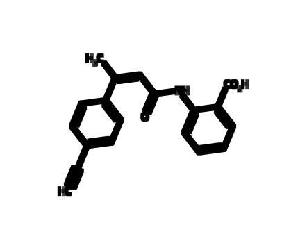 C#Cc1ccc(/C(C)=C\C(=O)Nc2ccccc2C(=O)O)cc1